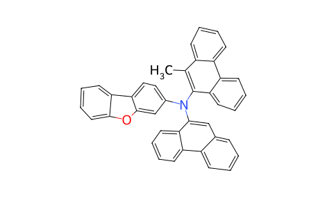 Cc1c(N(c2ccc3c(c2)oc2ccccc23)c2cc3ccccc3c3ccccc23)c2ccccc2c2ccccc12